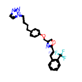 FC(F)(F)c1ccccc1/C=C/c1nc(COc2ccc(CCCCn3ccnn3)cc2)co1